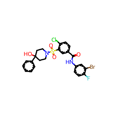 O=C(Nc1ccc(F)c(Br)c1)c1ccc(Cl)c(S(=O)(=O)N2CCC(O)(c3ccccc3)CC2)c1